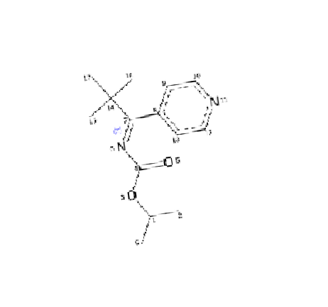 CC(C)OC(=O)/N=C(\c1ccncc1)C(C)(C)C